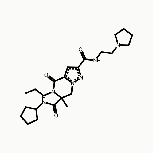 CCCN1C(=O)c2cc(C(=O)NCCN3CCCC3)nn2CC1(C)C(=O)NC1CCCC1